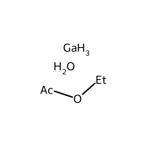 CCOC(C)=O.O.[GaH3]